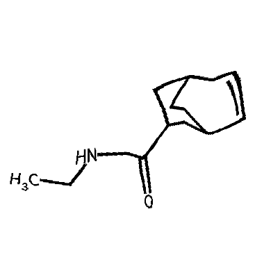 CCNC(=O)C1CC2C=CC1C2